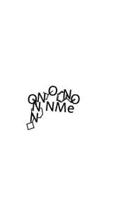 CNC(=O)c1ccc(OC2CN(C(=O)N3CCCN(C4CCC4)CC3)C2)cn1